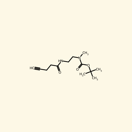 C#CCCC(=O)NCCN(C)C(=O)OC(C)(C)C